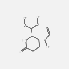 C=COCC.CCOC(OCC)[C@H]1CCCC(=O)N1